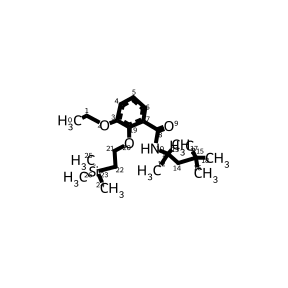 CCOc1cccc(C(=O)NC(C)(C)CC(C)(C)C)c1OCC[Si](C)(C)C